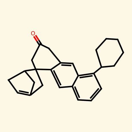 O=C1Cc2cc3c(C4CCCCC4)cccc3cc2C2(C1)CC1=CCC2C1